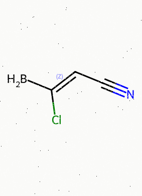 B/C(Cl)=C/C#N